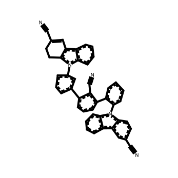 N#CC1=Cc2c(n(-c3cccc(-c4cccc(-c5ccccc5-n5c6ccccc6c6cc(C#N)ccc65)c4C#N)c3)c3ccccc23)CC1